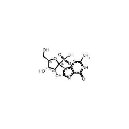 Nc1nc2c(ncn2[C@]2(S(=O)(=O)O)O[C@H](CO)[C@@H](O)[C@H]2O)c(=O)[nH]1